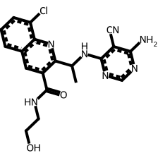 CC(Nc1ncnc(N)c1C#N)c1nc2c(Cl)cccc2cc1C(=O)NCCO